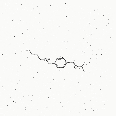 CCCCCNCc1ccc(COC(C)C)cc1